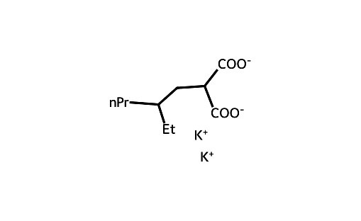 CCCC(CC)CC(C(=O)[O-])C(=O)[O-].[K+].[K+]